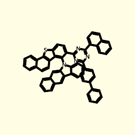 c1ccc(-c2ccc(-c3nc(-c4ccc5sc6c7ccccc7ccc6c5c4-n4c5ccccc5c5cc6ccccc6cc54)nc(-c4cccc5ccccc45)n3)cc2)cc1